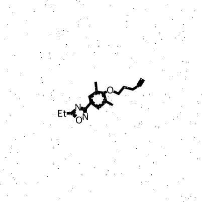 C#CCCCOc1c(C)cc(-c2noc(CC)n2)cc1C